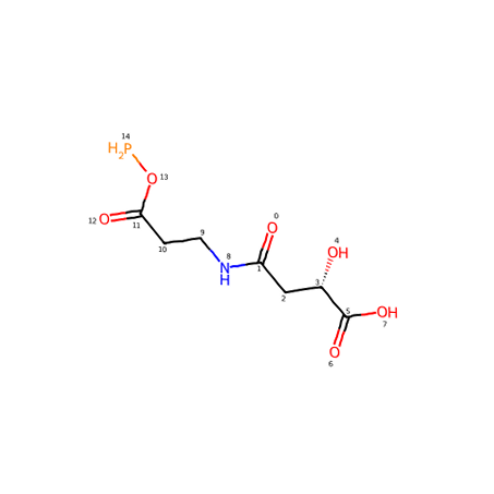 O=C(C[C@H](O)C(=O)O)NCCC(=O)OP